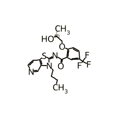 CCCCn1c(=NC(=O)c2cc(C(F)(F)F)ccc2OC[C@@H](C)O)sc2ccncc21